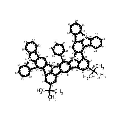 CC(C)(C)c1cc2c3cc4c5cc(C(C)(C)C)cc6c7c8c9ccccc9n9c%10ccccc%10c(cc7n(c4c(-c4ccccc4)c3n3c4cc7c%10ccccc%10n%10c%11ccccc%11c(c4c(c1)c23)c7%10)c56)c89